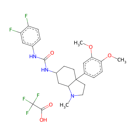 COc1ccc(C23CCC(NC(=O)Nc4ccc(F)c(F)c4)CC2N(C)CC3)cc1OC.O=C(O)C(F)(F)F